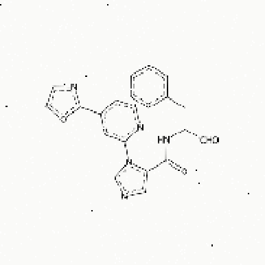 O=CC(Cc1ccccc1)NC(=O)c1cncn1-c1cc(-c2ncco2)ccn1